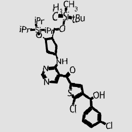 CC(C)[Si](O[C@H]1C[C@H](Nc2ncncc2C(=O)c2cc(C(O)c3cccc(Cl)c3)c(Cl)s2)C[C@@H]1CO[Si](C)(C)C(C)(C)C)(C(C)C)C(C)C